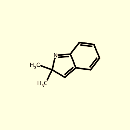 CC1(C)C=c2ccccc2=N1